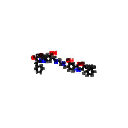 COC(=O)[C@H](Cc1ccccc1)NC(=O)c1ccc(C=NCCN=Cc2ccc(C(=O)N[C@@H](Cc3ccccc3)C(=O)OC)cc2O)c(O)c1